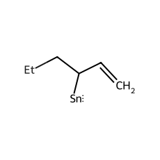 C=C[CH]([Sn])CCC